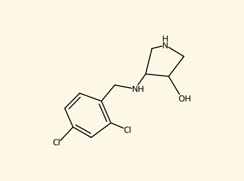 OC1CNCC1NCc1ccc(Cl)cc1Cl